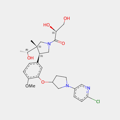 COc1ccc([C@@H]2CN(C(=O)[C@@H](O)CO)C[C@@]2(C)[C@@H](C)O)cc1OC1CCN(c2ccc(Cl)nc2)C1